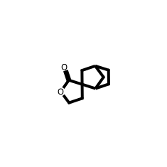 O=C1OCCC12CC1CCC2C1